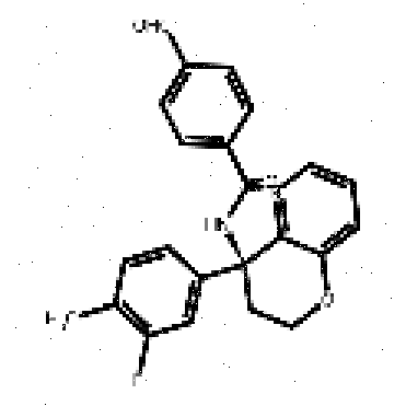 Cc1ccc([C@@]2(NC(=O)c3ccc(C=O)cc3)CCOc3cccnc32)cc1F